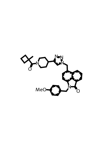 COc1ccc(CN2C(=O)c3cccc4c(Cn5cc(C6CCN(C(=O)C7(C)CCC7)CC6)nn5)ccc2c34)cc1